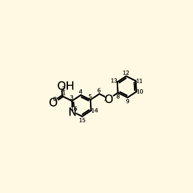 O=C(O)c1cc(COc2ccccc2)ccn1